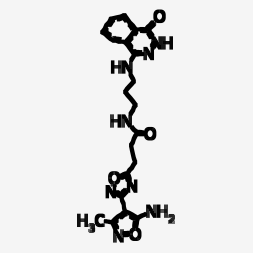 Cc1noc(N)c1-c1noc(CCC(=O)NCCCNc2n[nH]c(=O)c3ccccc23)n1